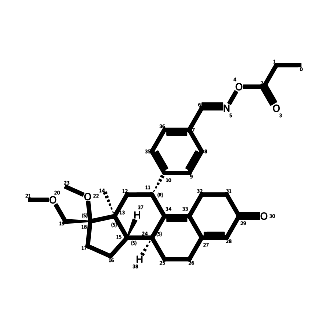 CCC(=O)ON=Cc1ccc([C@H]2C[C@@]3(C)[C@@H](CC[C@]3(COC)OC)[C@@H]3CCC4=CC(=O)CCC4=C32)cc1